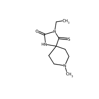 CCN1C(=O)NC2(CCN(C)CC2)C1=S